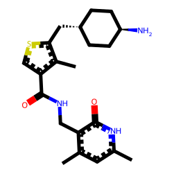 Cc1cc(C)c(CNC(=O)c2csc(C[C@H]3CC[C@H](N)CC3)c2C)c(=O)[nH]1